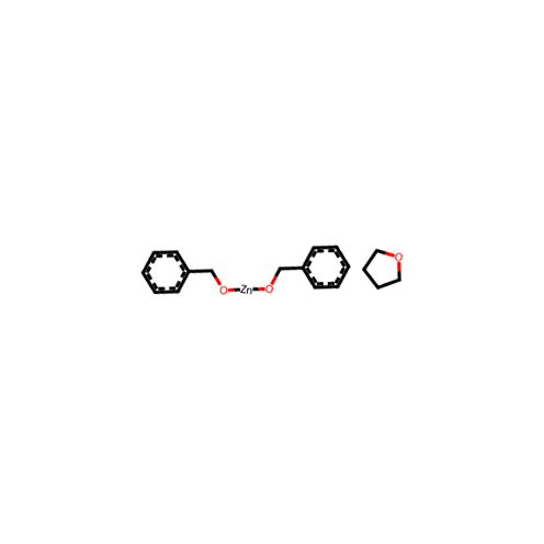 C1CCOC1.c1ccc(C[O][Zn][O]Cc2ccccc2)cc1